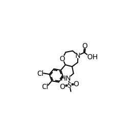 CS(=O)(=O)NCC1CN(C(=O)O)CCOC1c1ccc(Cl)c(Cl)c1